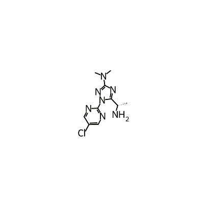 C[C@H](N)c1nc(N(C)C)nn1-c1ncc(Cl)cn1